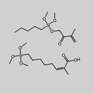 C=C(C)C(=O)CO[Si](CCCCC)(OC)OC.CO[Si](CCCCCC=C(C)C(=O)O)(OC)OC